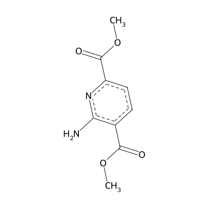 COC(=O)c1ccc(C(=O)OC)c(N)n1